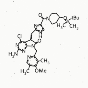 COc1c(C)cnc(CN2C(=O)/C(=C\c3nc(C(=O)N4CCC(O[Si](C)(C)C(C)(C)C)CC4)c[nH]3)c3c(Cl)nc(N)nc32)c1C